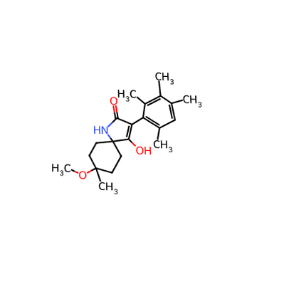 COC1(C)CCC2(CC1)NC(=O)C(c1c(C)cc(C)c(C)c1C)=C2O